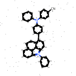 N#Cc1ccc(N(c2ccccc2)c2ccc(-c3ccc4c5c3ccc3cccc(c35)n4-c3ccccc3)cc2)cc1